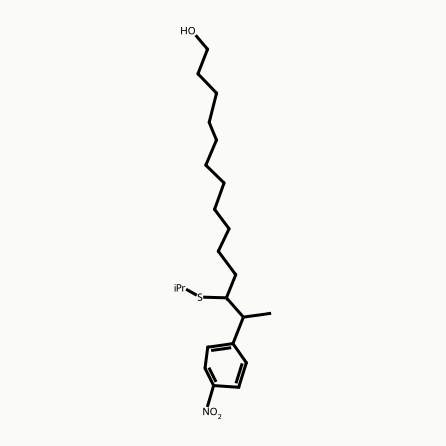 CC(C)S[C](CCCCCCCCCCCO)C(C)c1ccc([N+](=O)[O-])cc1